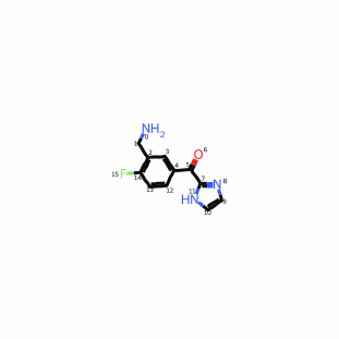 NCc1cc(C(=O)c2ncc[nH]2)ccc1F